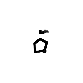 C1CCOC1.[Eu+2]